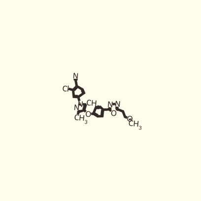 COCCc1nnc(-c2ccc(Oc3c(C)nn(-c4ccc(C#N)c(Cl)c4)c3C)cc2)o1